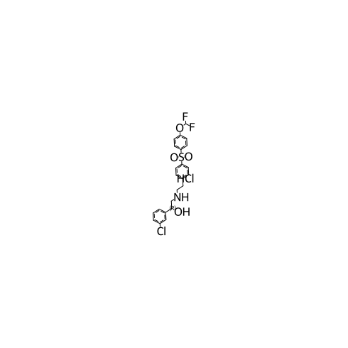 Cl.O=S(=O)(c1ccc(CCNC[C@H](O)c2cccc(Cl)c2)cc1)c1ccc(OC(F)F)cc1